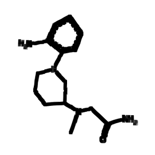 CN(CC(N)=O)C1CCCN(c2ccccc2N)C1